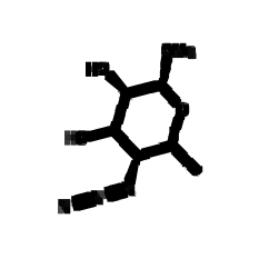 CO[C@H]1OC(C)[C@@H](N=[N+]=[N-])C(O)[C@H]1O